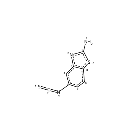 Nc1nc2cc(N=C=S)ccc2s1